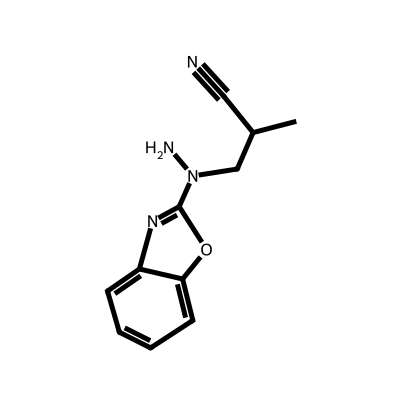 CC(C#N)CN(N)c1nc2ccccc2o1